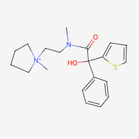 CN(CC[N+]1(C)CCCC1)C(=O)C(O)(c1ccccc1)c1cccs1